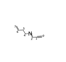 C#C/C=N/CCC=C